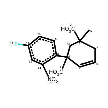 CC1(C(=O)O)CC=CC(C(=O)O)(c2ccc(F)cc2[N+](=O)[O-])C1